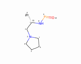 CC(C)[C@@H](CN1CCCC1)NP=O